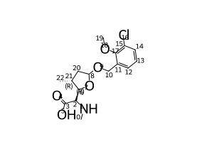 CNC(C(=O)O)[C@@H]1OC(OCc2cccc(Cl)c2OC)C[C@H]1C